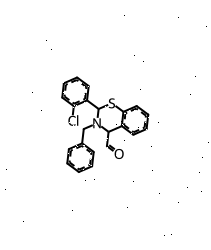 O=CC1c2ccccc2SC(c2ccccc2Cl)N1Cc1ccccc1